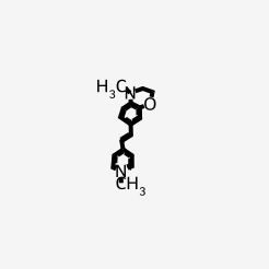 CN1CCOc2cc(C=Cc3cc[n+](C)cc3)ccc21